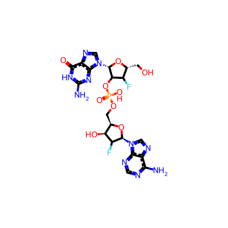 Nc1nc2c(ncn2[C@@H]2O[C@H](CO)C(F)C2OP(=O)(O)OC[C@H]2O[C@@H](n3cnc4c(N)ncnc43)C(F)[C@H]2O)c(=O)[nH]1